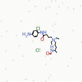 CC[N+](CC)(CCCC(=O)Nc1ccc(N)cc1Cl)CCCC(C)NC=O.[Cl-]